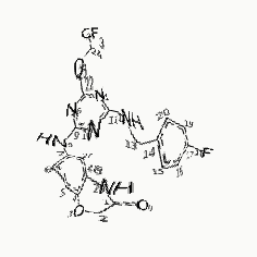 O=C1COc2ccc(Nc3nc(NCc4ccc(F)cc4)nc(OCC(F)(F)F)n3)cc2N1